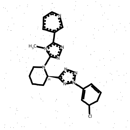 Cn1c(-c2cccnc2)nnc1N1CCCC[C@@H]1c1nnn(C2=CC(Cl)CC=C2)n1